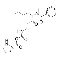 CCCCC(NC(=O)c1ccccc1)C(=O)CCNC(=O)OC(=O)[C@@H]1CCCN1